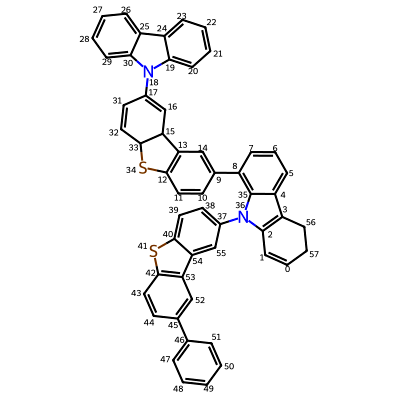 C1=Cc2c(c3cccc(-c4ccc5c(c4)C4C=C(n6c7ccccc7c7ccccc76)C=CC4S5)c3n2-c2ccc3sc4ccc(-c5ccccc5)cc4c3c2)CC1